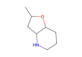 CC1CC2NCCCC2O1